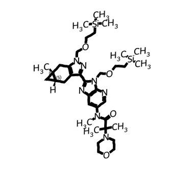 CN(C(=O)C(C)(C)N1CCOCC1)c1cnc2c(c1)nc(-c1nn(COCC[Si](C)(C)C)c3c1C[C@@H]1C[C@]1(C)C3)n2COCC[Si](C)(C)C